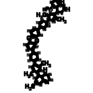 CCCN1CCNC2CNCC(c3cc(C)c(-c4ccc(-c5ccc6c(c5)Oc5cc(-c7ccc(-c8cc(C)c(C9CN(C)CC%10=NCCNC%109)cc8C)cc7)ccc5O6)cc4)cc3C)C21